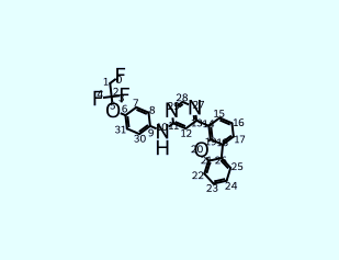 FCC(F)(F)Oc1ccc(Nc2cc(-c3cccc4c3oc3ccccc34)ncn2)cc1